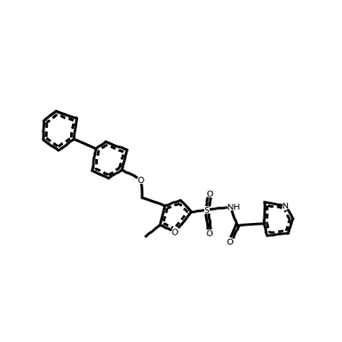 Cc1oc(S(=O)(=O)NC(=O)c2cccnc2)cc1COc1ccc(-c2ccccc2)cc1